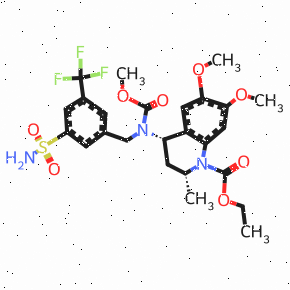 CCOC(=O)N1c2cc(OC)c(OC)cc2[C@@H](N(Cc2cc(C(F)(F)F)cc(S(N)(=O)=O)c2)C(=O)OC)C[C@H]1C